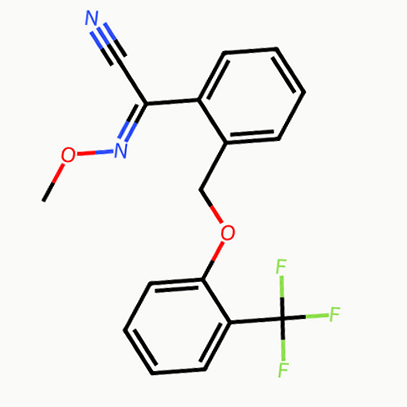 CON=C(C#N)c1ccccc1COc1ccccc1C(F)(F)F